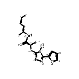 C/C=C\C=C(/C)NC(=O)C(F)Sc1nnc(-c2ccco2)n1CC